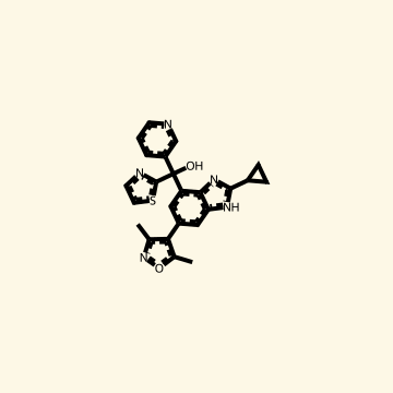 Cc1noc(C)c1-c1cc(C(O)(c2cccnc2)c2nccs2)c2nc(C3CC3)[nH]c2c1